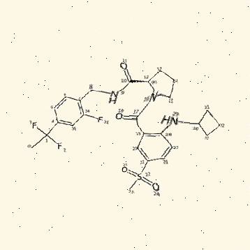 CC(F)(F)c1ccc(CNC(=O)[C@H]2CCCN2C(=O)c2cc(S(C)(=O)=O)ccc2NC2CCC2)c(F)c1